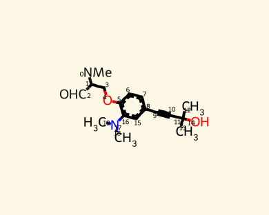 CNC(C=O)COc1ccc(C#CC(C)(C)O)cc1N(C)C